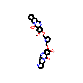 COc1cc2c(cc1OCc1cccc(COc3cc4c(cc3OC)C(O)N3Cc5ccccc5CC3C=N4)n1)N=C[C@@H]1Cc3ncccc3CN1C2=O